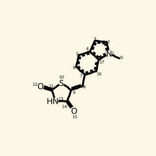 Cn1ccc2ccc(/C=C3\SC(=O)NC3=O)cc21